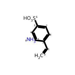 C=Cc1ccc(S(=O)(=O)O)cc1.N